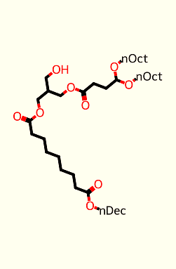 CCCCCCCCCCOC(=O)CCCCCCCC(=O)OCC(CO)COC(=O)CCC(OCCCCCCCC)OCCCCCCCC